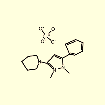 Cn1c(-c2ccccc2)cc(N2CCCCC2)[n+]1C.[O-][Cl+3]([O-])([O-])[O-]